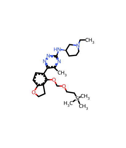 CCN1CCC[C@@H](Nc2nnc(-c3ccc4c(c3OCOCC[Si](C)(C)C)CCO4)c(C)n2)C1